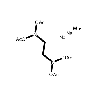 CC(=O)ON(CCN(OC(C)=O)OC(C)=O)OC(C)=O.[Mn].[Na].[Na]